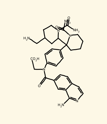 NCC1CCN(C(N)=O)C(C2(c3ccc(N(CC(=O)O)C(=O)c4ccc5ccnc(N)c5c4)cc3)CCCCN2C(N)=O)C1